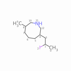 CC(I)CC1CCCC(C)CNC1